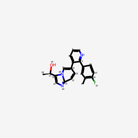 Cc1cc(-c2ncccc2-c2ccc3ncc([C@@H](C)O)n3c2)ccc1F